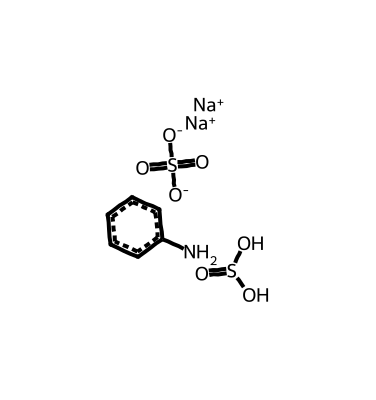 Nc1ccccc1.O=S(=O)([O-])[O-].O=S(O)O.[Na+].[Na+]